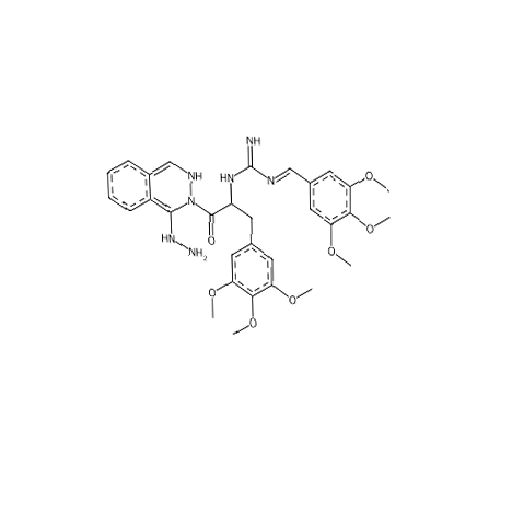 COc1cc(/C=N/C(=N)NC(Cc2cc(OC)c(OC)c(OC)c2)C(=O)N2NC=c3ccccc3=C2NN)cc(OC)c1OC